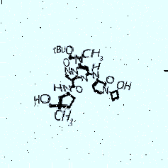 CN(C(=O)OC(C)(C)C)c1cc(Nc2cccn([C@H]3CC[C@@H]3O)c2=O)nc2c(C(=O)NC3CCC(C)(CO)C3)cnn12